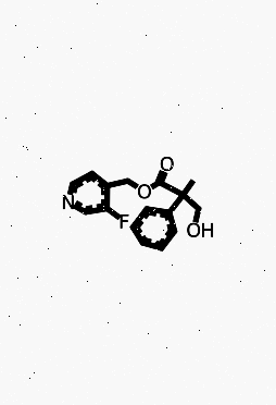 CC(CO)(C(=O)OCc1ccncc1F)c1ccccc1